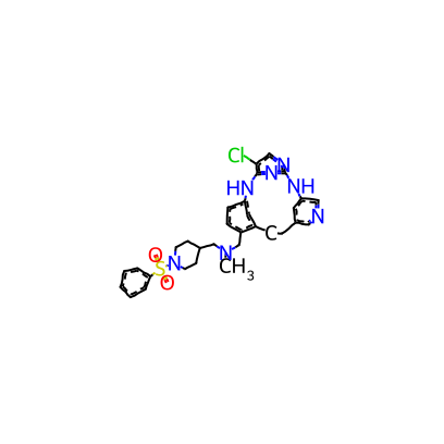 CN(Cc1ccc2cc1CCc1cncc(c1)Nc1ncc(Cl)c(n1)N2)CC1CCN(S(=O)(=O)c2ccccc2)CC1